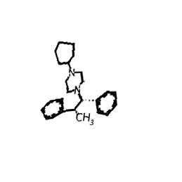 C[C@H](c1ccccc1)[C@@H](c1ccccc1)N1CCN(C2CCCCC2)CC1